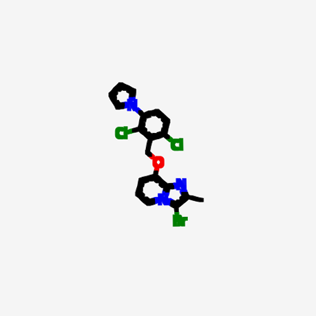 Cc1nc2c(OCc3c(Cl)ccc(-n4cccc4)c3Cl)cccn2c1Br